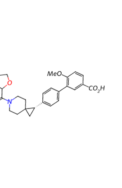 COc1ccc(C(=O)O)cc1-c1ccc([C@@H]2CC23CCN(C(=O)C2CCCO2)CC3)cc1